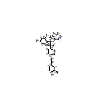 N/N=C\N(N)CC(O)(c1ccc(F)cc1F)C(F)(F)c1ccc(C#Cc2ccc(F)c(F)c2)nn1